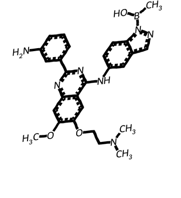 COc1cc2nc(-c3cccc(N)c3)nc(Nc3ccc4c(cnn4B(C)O)c3)c2cc1OCCN(C)C